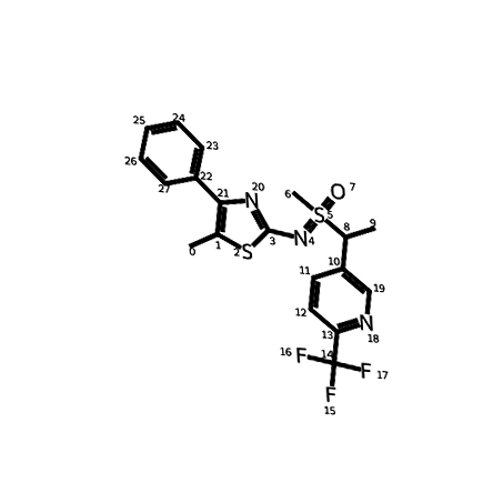 Cc1sc(N=S(C)(=O)C(C)c2ccc(C(F)(F)F)nc2)nc1-c1ccccc1